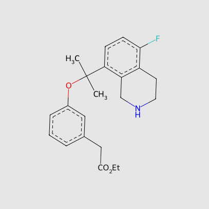 CCOC(=O)Cc1cccc(OC(C)(C)c2ccc(F)c3c2CNCC3)c1